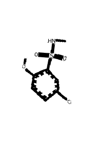 CNS(=O)(=O)c1cc(Cl)ccc1OC